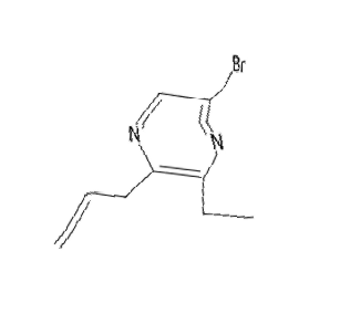 C=CCc1ncc(Br)nc1CC